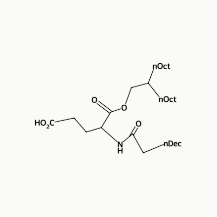 CCCCCCCCCCCC(=O)NC(CCC(=O)O)C(=O)OCC(CCCCCCCC)CCCCCCCC